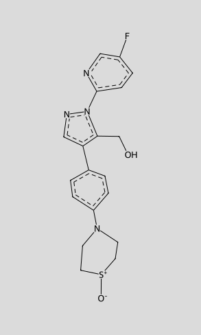 [O-][S+]1CCN(c2ccc(-c3cnn(-c4ccc(F)cn4)c3CO)cc2)CC1